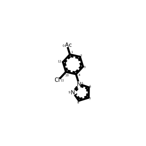 CC(=O)c1ccc(-n2cccn2)c(Cl)c1